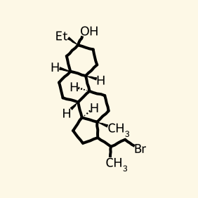 CC[C@@]1(O)CC[C@H]2[C@H](CC[C@@H]3[C@@H]2CC[C@]2(C)C(C(C)CBr)CC[C@@H]32)C1